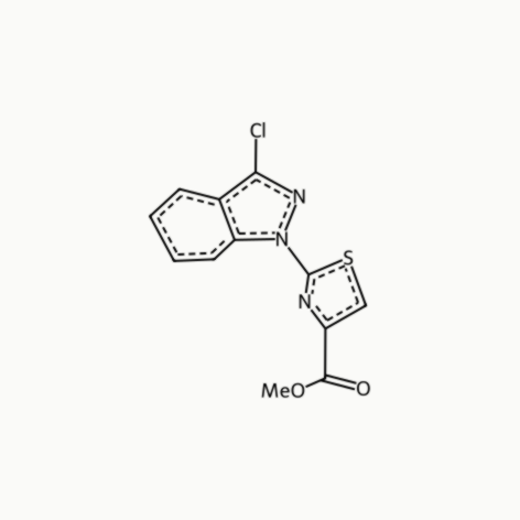 COC(=O)c1csc(-n2nc(Cl)c3ccccc32)n1